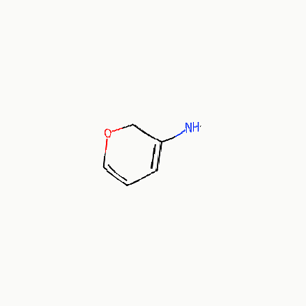 [NH]C1=CC=COC1